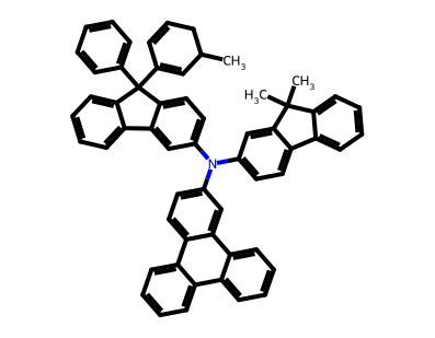 CC1C=C(C2(c3ccccc3)c3ccccc3-c3cc(N(c4ccc5c(c4)C(C)(C)c4ccccc4-5)c4ccc5c6ccccc6c6ccccc6c5c4)ccc32)C=CC1